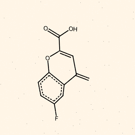 C=C1C=C(C(=O)O)Oc2ccc(F)cc21